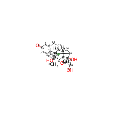 C.C[C@@]12C3=CC(=O)C=C1C1C[C@H]4[C@H](CC3)[C@]2(F)[C@@H](O)C[C@]4(C)[C@@]1(O)C(=O)CO